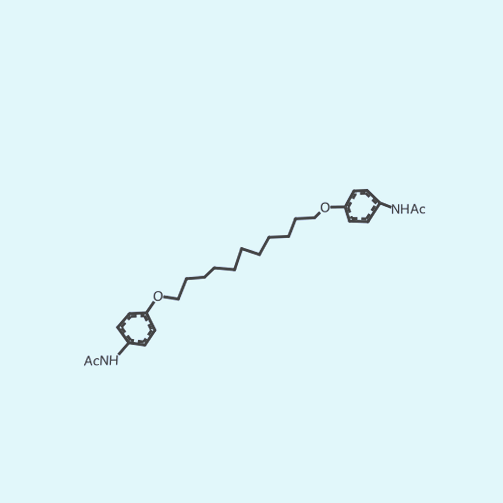 CC(=O)Nc1ccc(OCCCCCCCCCCCOc2ccc(NC(C)=O)cc2)cc1